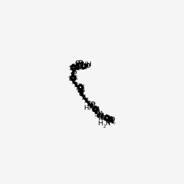 CC1OCC2(CCN(c3cnc(Sc4cccc(NC(=O)CCCCCCCN5CC6(CCCC(CCCc7ccc(COc8cccc9c8CN(C8CCC(=O)NC8=O)C9=O)cc7)C6)C5)c4)cn3)CC2)[C@@H]1N